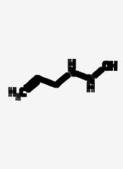 C=CCNNO